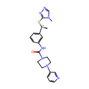 C[C@H](Sc1nncn1C)c1cccc(NC(=O)N2CCN(c3cccnc3)CC2)c1